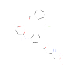 NC(CC(=O)O)CC(=O)O.O=C(O)/C=C\C(=O)Nc1ccccc1Br.O=C(O)c1cccc(SC(F)(F)F)c1